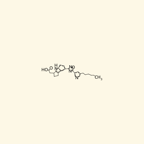 CCCCCCc1cncc(-c2nc(-c3ccc4[nH]c5c(c4c3)CCC5CC(=O)O)no2)c1